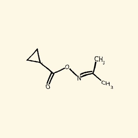 CC(C)=NOC(=O)[C]1CC1